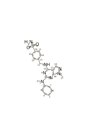 CN(c1ccccc1)c1nc(NCc2ccc(S(N)(=O)=O)cc2)c2cnn(C)c2n1